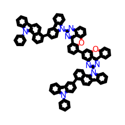 c1ccc(-n2c3ccccc3c3cc(-c4cccc5c4ccc4c6ccccc6n(-c6nc7c8c(cc(-c9cccc%10c9Oc9cccc%11nc(-n%12c%13ccccc%13c%13cc(-c%14cccc%15c%14ccc%14c%16ccccc%16n(-c%16ccccc%16)c%15%14)ccc%13%12)nc-%10c9%11)cc8n6)Oc6ccccc6-7)c54)ccc32)cc1